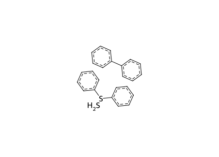 S.c1ccc(-c2ccccc2)cc1.c1ccc(Sc2ccccc2)cc1